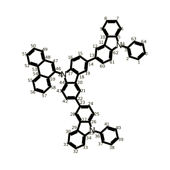 c1ccc(-n2c3ccccc3c3cc(-c4ccc5c(c4)c4cc(-c6ccc7c(c6)c6ccccc6n7-c6ccccc6)ccc4n5-c4cc5ccccc5c5ccccc45)ccc32)cc1